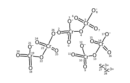 [O]=[Cr](=[O])([O-])[O][Cr](=[O])(=[O])[O-].[O]=[Cr](=[O])([O-])[O][Cr](=[O])(=[O])[O-].[O]=[Cr](=[O])([O-])[O][Cr](=[O])(=[O])[O-].[Sc+3].[Sc+3]